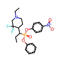 CCC(C1CCN(CC)CC1(F)F)P(=O)(Oc1ccccc1)Oc1ccc([N+](=O)[O-])cc1